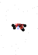 C[C@@H]1C(NC(=O)OCC2c3ccccc3-c3ccccc32)[C@H](O)OC(COCc2ccccc2)[C@H]1OP1(=O)OCc2ccccc2CO1